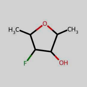 CC1OC(C)C(F)C1O